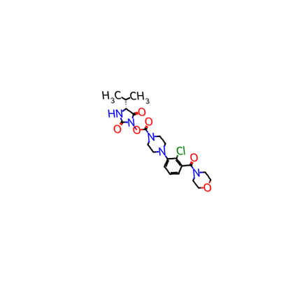 CC(C)[C@H]1NC(=O)N(OC(=O)N2CCN(c3cccc(C(=O)N4CCOCC4)c3Cl)CC2)C1=O